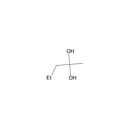 C[CH]CC(C)(O)O